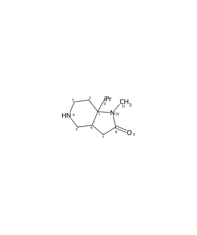 CC(C)C12CCNCC1CC(=O)N2C